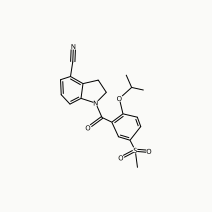 CC(C)Oc1ccc(S(C)(=O)=O)cc1C(=O)N1CCc2c(C#N)cccc21